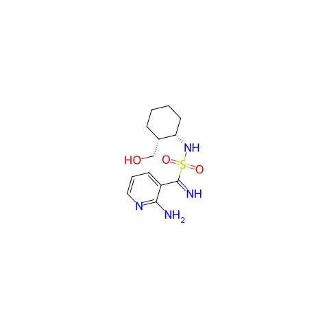 N=C(c1cccnc1N)S(=O)(=O)N[C@H]1CCCC[C@H]1CO